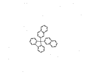 c1ccc2c(c1)-c1ccccc1C2(c1ccc2ccccc2c1)c1ccc2ccccc2c1